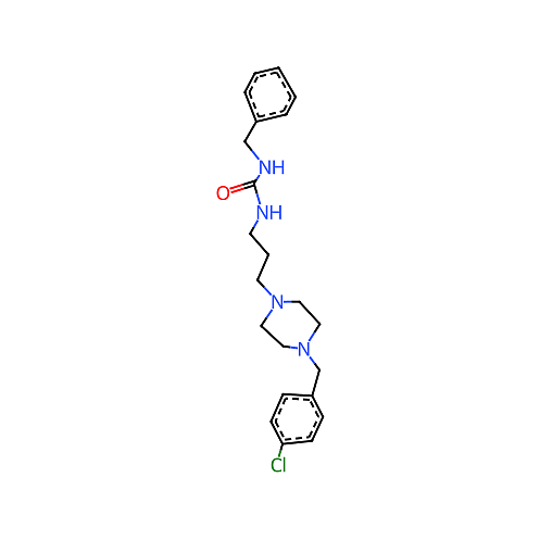 O=C(NCCCN1CCN(Cc2ccc(Cl)cc2)CC1)NCc1ccccc1